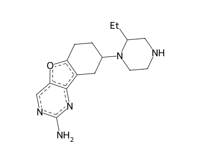 CCC1CNCCN1C1CCc2oc3cnc(N)nc3c2C1